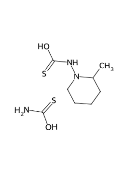 CC1CCCCN1NC(O)=S.NC(O)=S